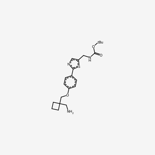 CC(C)(C)OC(=O)NCc1cnc(-c2ccc(OCC3(CN)CCC3)cc2)s1